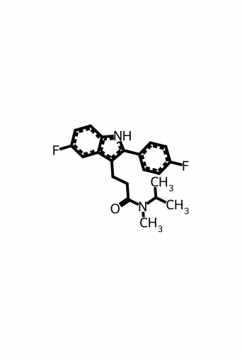 CC(C)N(C)C(=O)CCc1c(-c2ccc(F)cc2)[nH]c2ccc(F)cc12